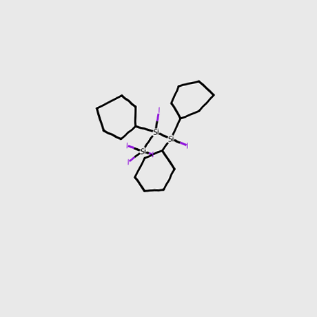 I[Si](I)(I)[Si](I)(C1CCCCC1)[Si](I)(C1CCCCC1)C1CCCCC1